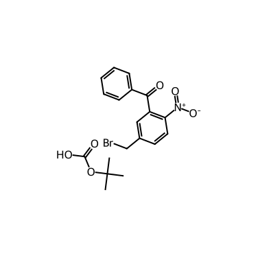 CC(C)(C)OC(=O)O.O=C(c1ccccc1)c1cc(CBr)ccc1[N+](=O)[O-]